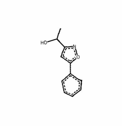 CC(O)c1cc(-c2ccccc2)on1